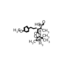 CNC(=O)[C@@H](NC(=O)[C@H](CCCc1ccc(OC)cc1)[C@H](C)N(O)C=O)C(C)(C)C